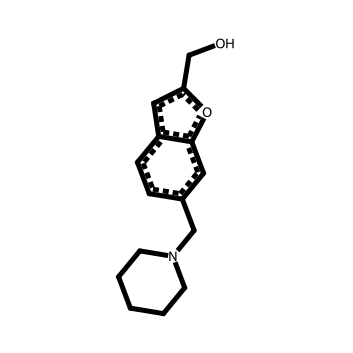 OCc1cc2ccc(CN3CCCCC3)cc2o1